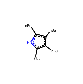 CCCCc1[nH]c(CCCC)c(CCCC)c1CCCC